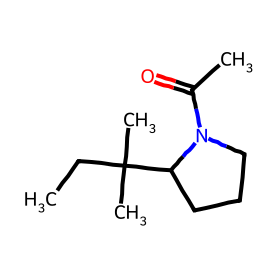 CCC(C)(C)C1CCCN1C(C)=O